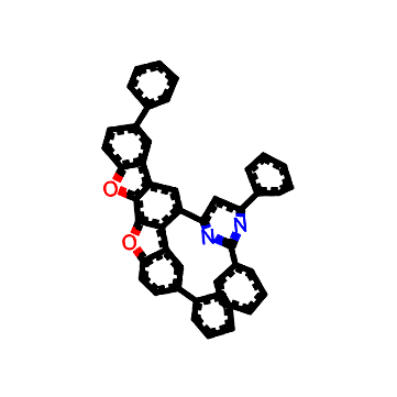 c1ccc(-c2ccc3oc4c(cc(-c5cc(-c6ccccc6)nc(-c6ccccc6)n5)c5c6cc(-c7ccccc7)ccc6oc45)c3c2)cc1